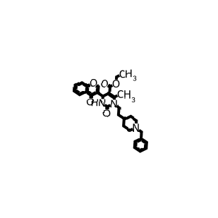 CCOC(=O)C1=C(C)N(CCC2CCN(Cc3ccccc3)CC2)C(=O)NC1c1coc2ccccc2c1=O